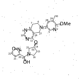 COc1ncc(N2CCc3ncnc(O[C@H]4CCN(C(O)c5ccon5)C4)c3C2)cc1C